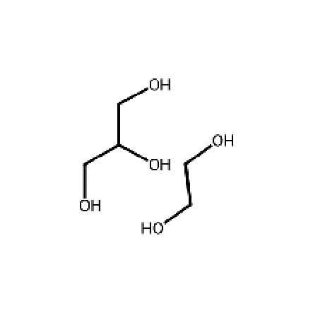 OCC(O)CO.OCCO